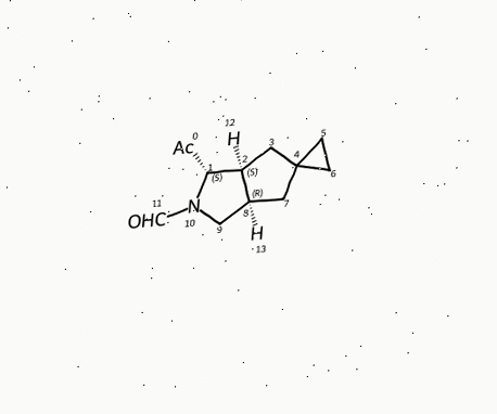 CC(=O)[C@@H]1[C@H]2CC3(CC3)C[C@H]2CN1C=O